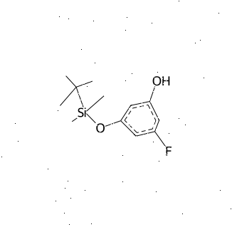 CC(C)(C)[Si](C)(C)Oc1cc(O)cc(F)c1